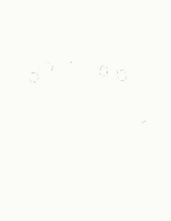 CC(C)c1ccc2c(c1)CCC1C(C)(C(=O)OCC(O)COCCOc3ccc(Cc4ccc(OCCOCC(O)COC(=O)C5(C)CCCC6(C)C7CCC(C(C)C)CC7CCC56)cc4)cc3)CCCC21C